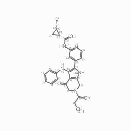 CCC(=O)N1CC(=O)c2c([nH]c(-c3ccnc(NC(=O)[C@@H]4C[C@@H]4F)c3)c2Nc2ccccc2)C1